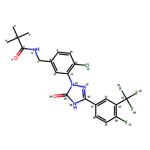 CC(C)(C)C(=O)NCc1ccc(Cl)c(-n2nc(-c3ccc(F)c(C(F)(F)F)c3)[nH]c2=O)c1